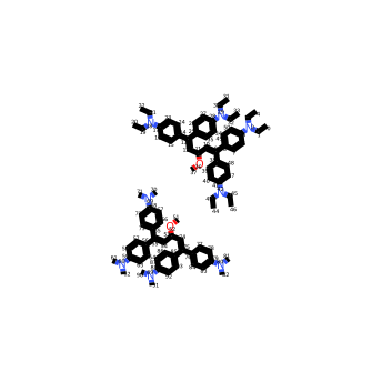 CCN(CC)c1ccc(C(=CC(C=C(c2ccc(N(CC)CC)cc2)c2ccc(N(CC)CC)cc2)OC)c2ccc(N(CC)CC)cc2)cc1.COC(C=C(c1ccc(N(C)C)cc1)c1ccc(N(C)C)cc1)C=C(c1ccc(N(C)C)cc1)c1ccc(N(C)C)cc1